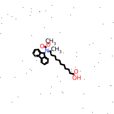 COC(=O)N(C(C)CCCCCCCCCC(=O)O)C1c2ccccc2-c2ccccc21